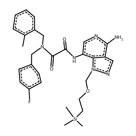 Cc1ccccc1CN(Cc1ccc(F)cc1)C(=O)C(=O)Nc1cnc(N)c2cnn(COCC[Si](C)(C)C)c12